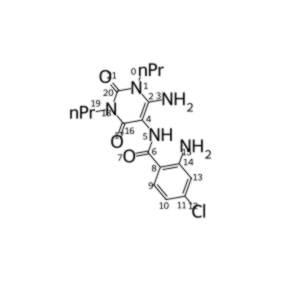 CCCn1c(N)c(NC(=O)c2ccc(Cl)cc2N)c(=O)n(CCC)c1=O